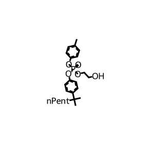 CCCCCC(C)(C)c1ccc(OP(=O)(OCCO)Oc2ccc(C)cc2)cc1